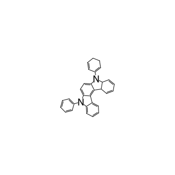 C1=CC2c3c(ccc4c3c3ccccc3n4-c3ccccc3)N(C3=CCCC=C3)C2C=C1